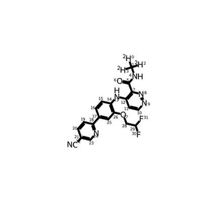 [2H]C([2H])([2H])NC(=O)c1nnccc1Nc1ccc(-c2ccc(C#N)cn2)cc1OCC(F)F